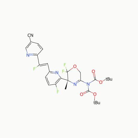 CC(C)(C)OC(=O)N(C(=O)OC(C)(C)C)C1=N[C@](C)(c2nc(/C=C(\F)c3ccc(C#N)cn3)ccc2F)C(F)(F)OC1